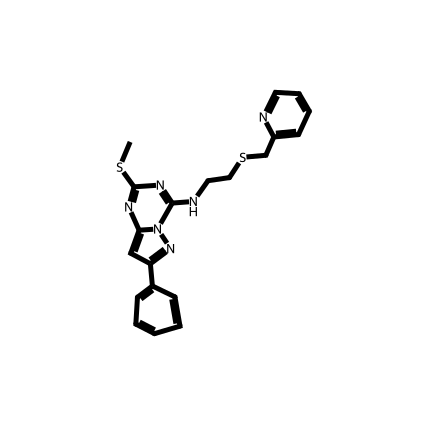 CSc1nc(NCCSCc2ccccn2)n2nc(-c3ccccc3)cc2n1